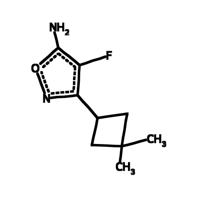 CC1(C)CC(c2noc(N)c2F)C1